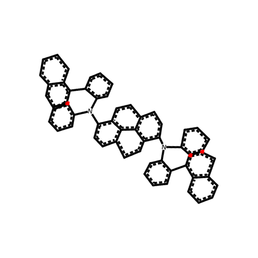 c1ccc(N(c2ccccc2-c2cccc3ccccc23)c2ccc3ccc4c(N(c5ccccc5)c5ccccc5-c5cccc6ccccc56)ccc5ccc2c3c54)cc1